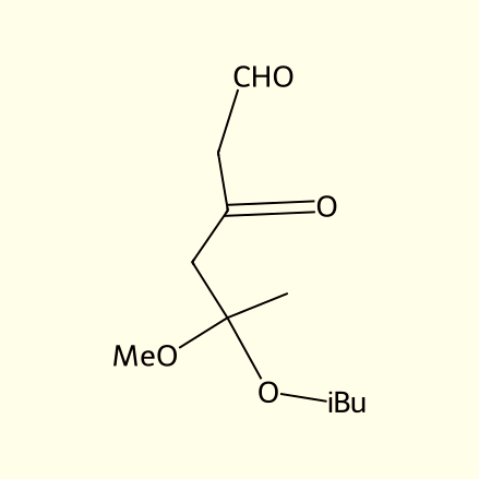 CCC(C)OC(C)(CC(=O)CC=O)OC